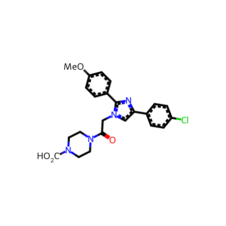 COc1ccc(-c2nc(-c3ccc(Cl)cc3)cn2CC(=O)N2CCN(C(=O)O)CC2)cc1